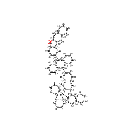 c1ccc2c(c1)-c1ccccc1C21c2cc3cc(-c4c5ccccc5c(-c5ccc6oc7cc8ccccc8cc7c6c5)c5ccccc45)ccc3cc2-c2c1ccc1ccccc21